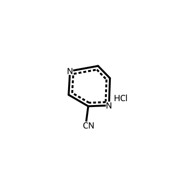 Cl.N#Cc1cnccn1